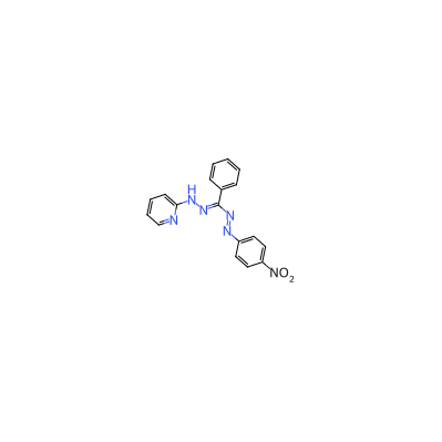 O=[N+]([O-])c1ccc(N=NC(=NNc2ccccn2)c2ccccc2)cc1